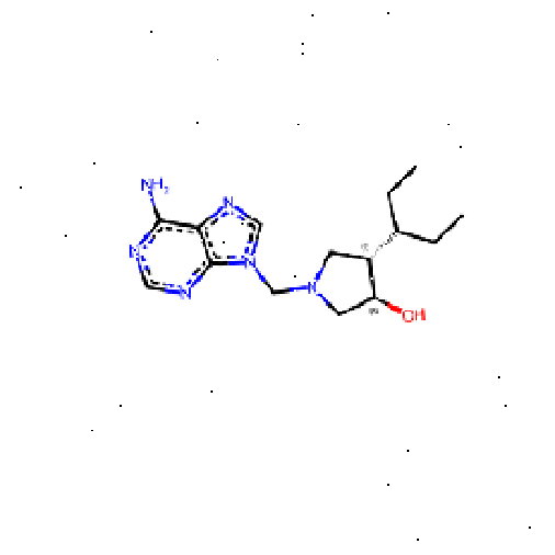 CCC(CC)[C@H]1CN(Cn2cnc3c(N)ncnc32)C[C@@H]1O